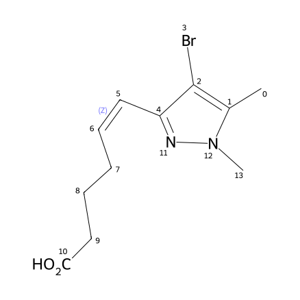 Cc1c(Br)c(/C=C\CCCC(=O)O)nn1C